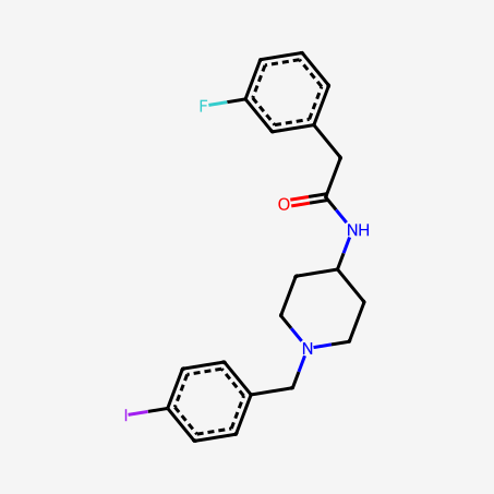 O=C(Cc1cccc(F)c1)NC1CCN(Cc2ccc(I)cc2)CC1